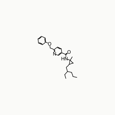 CCCC(CC)CC1CC1(C)NC(=O)c1ccc(COc2ccccc2)nc1